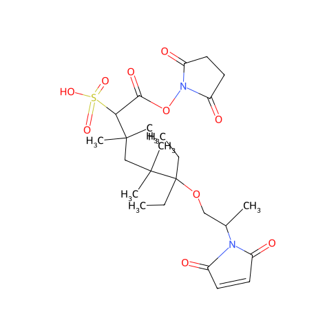 CCC(CC)(OCC(C)N1C(=O)C=CC1=O)C(C)(C)CC(C)(C)C(C(=O)ON1C(=O)CCC1=O)S(=O)(=O)O